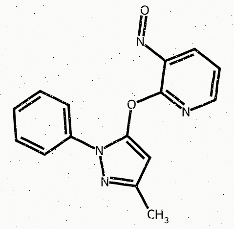 Cc1cc(Oc2ncccc2N=O)n(-c2ccccc2)n1